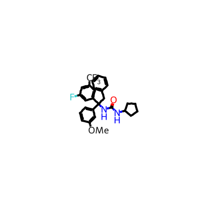 COc1cccc(C(Cc2ccccc2)(NC(=O)NC2CCCC2)c2cc(F)cc(C(F)(F)F)c2)c1